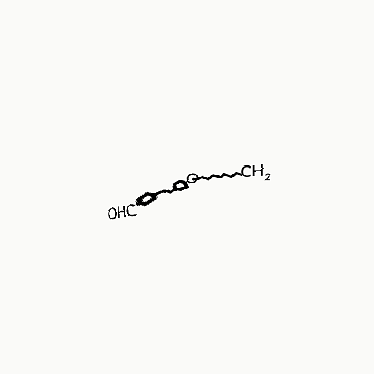 C=CCCCCCCCCOc1ccc(C=Cc2ccc(C=O)cc2)cc1